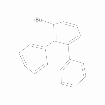 CCCCc1cccc(-c2ccccc2)c1-c1ccccc1